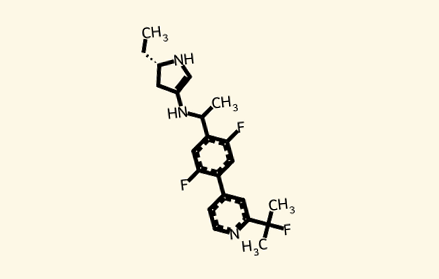 CC[C@H]1CC(NC(C)c2cc(F)c(-c3ccnc(C(C)(C)F)c3)cc2F)=CN1